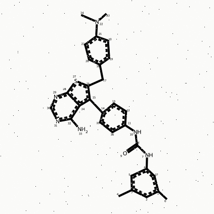 Cc1cc(C)cc(NC(=O)Nc2ccc(-c3c(Cc4ccc(N(C)C)cc4)sc4ncnc(N)c34)cc2)c1